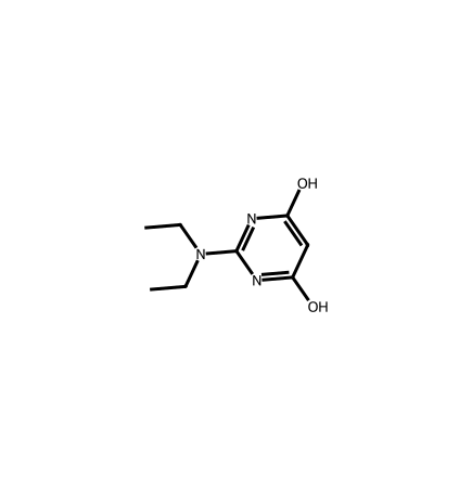 CCN(CC)c1nc(O)cc(O)n1